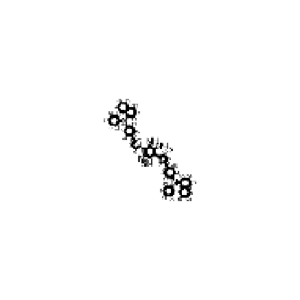 Nc1c(N)c(-c2ccc(-c3ccc(N(c4ccccc4)c4cccc5ccccc45)cc3)s2)c2nsnc2c1-c1ccc(-c2ccc(N(c3ccccc3)c3cccc4ccccc34)cc2)s1